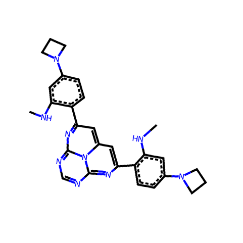 CNc1cc(N2CCC2)ccc1C1=CC2=CC(c3ccc(N4CCC4)cc3NC)=NC3=NC=NC(=N1)N23